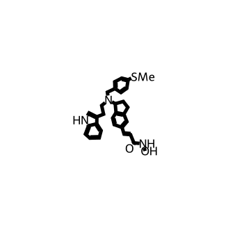 CSc1ccc(CN(CCc2c[nH]c3ccccc23)C2CCc3cc(/C=C/C(=O)NO)ccc32)cc1